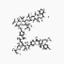 CC[C@@H](C)C([C@@H](CC(=O)N1CCC[C@@H]1[C@@H](OC)[C@H](C)C(=O)N[C@H](C)[C@@H](O)c1ccccc1)OC)N(C)C(=O)[C@H](NC(=O)[C@@H](C(C)C)N(C)C(=O)OCc1ccc(NC(=O)[C@@H](CCCNC(N)=O)NC(=O)[C@H](NC(=O)c2ccc(C(=O)C(CSCCOC)CS(=O)(=O)c3ccc(C)cc3)cc2)C(C)C)cc1)C(C)C